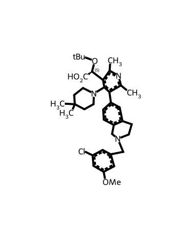 COc1cc(Cl)cc(CN2CCc3cc(-c4c(C)nc(C)c([C@H](OC(C)(C)C)C(=O)O)c4N4CCC(C)(C)CC4)ccc3C2)c1